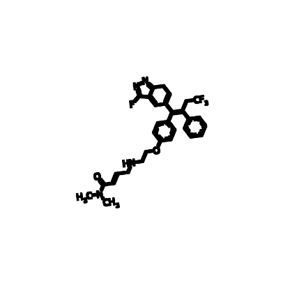 CN(C)C(=O)C=CCNCCOc1ccc(/C(C2=CCC3=NN=C(F)C3=C2)=C(/CC(F)(F)F)c2ccccc2)cc1